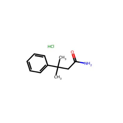 CC(C)(CC(N)=O)c1ccccc1.Cl